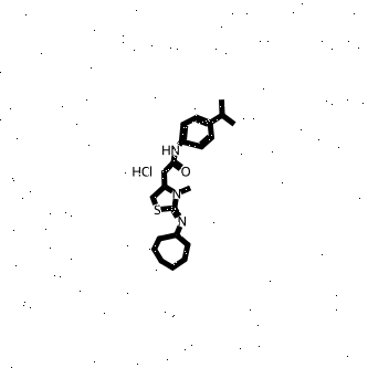 CC(C)c1ccc(NC(=O)CC2CS/C(=N\C3CCCCCC3)N2C)cc1.Cl